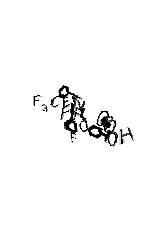 CC(C)(O)c1ccc(OCCCN(Cc2cccc(C(F)(F)F)c2F)CC(F)(F)c2ccc(F)cc2)cc1S(C)(=O)=O